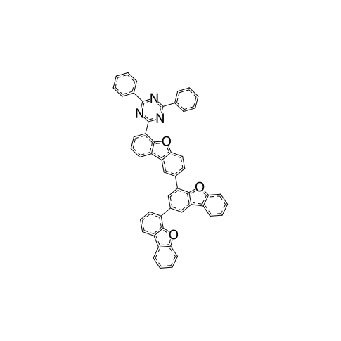 c1ccc(-c2nc(-c3ccccc3)nc(-c3cccc4c3oc3ccc(-c5cc(-c6cccc7c6oc6ccccc67)cc6c5oc5ccccc56)cc34)n2)cc1